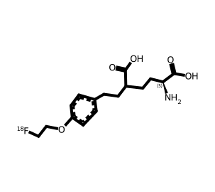 N[C@@H](CCC(CCc1ccc(OCC[18F])cc1)C(=O)O)C(=O)O